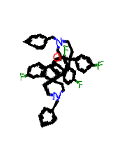 O=C(c1ccc(F)cc1C1(c2ccc(F)cc2)CCN(Cc2ccccc2)CC1)c1ccc(F)cc1C1(c2ccc(F)cc2)CCN(Cc2ccccc2)CC1